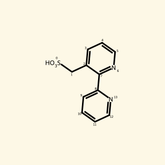 O=S(=O)(O)Cc1cccnc1-c1ccccn1